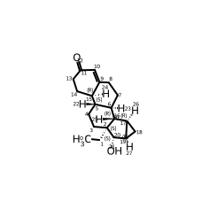 CC[C@]12CC[C@H]3[C@@H](CCC4=CC(=O)CC[C@@H]43)[C@@H]1[C@H]1C[C@H]1[C@@H]2O